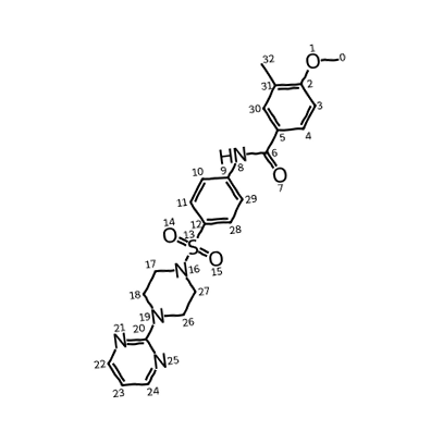 COc1ccc(C(=O)Nc2ccc(S(=O)(=O)N3CCN(c4ncccn4)CC3)cc2)cc1C